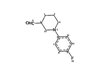 O=[C]C1CCCN(c2ccc(F)cc2)C1